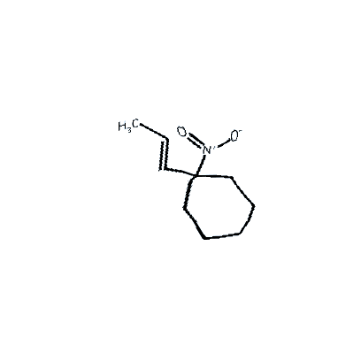 CC=CC1([N+](=O)[O-])CCCCC1